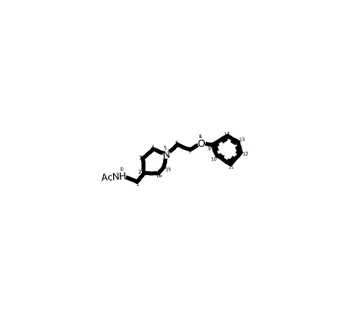 CC(=O)NCC1CCN(CCOc2ccccc2)CC1